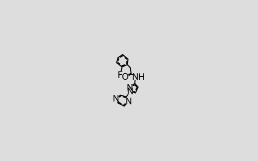 O=C(Cc1ccccc1F)Nc1ccn(-c2cnccn2)n1